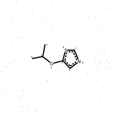 CC(C)Oc1cncs1